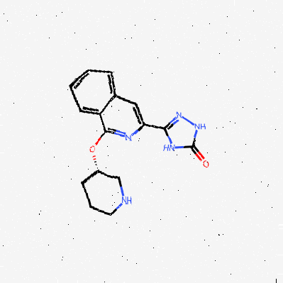 O=c1[nH]nc(-c2cc3ccccc3c(O[C@H]3CCCNC3)n2)[nH]1